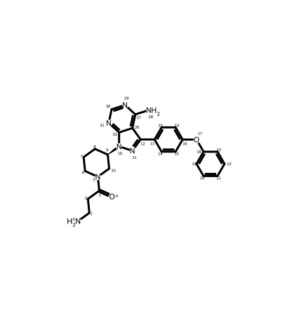 NCCC(=O)N1CCC[C@@H](n2nc(-c3ccc(Oc4ccccc4)cc3)c3c(N)ncnc32)C1